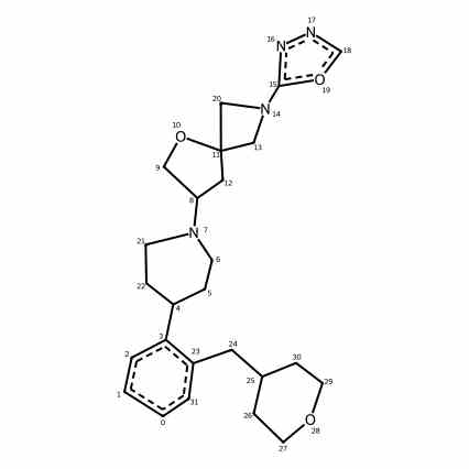 c1ccc(C2CCN(C3COC4(C3)CN(c3nnco3)C4)CC2)c(CC2CCOCC2)c1